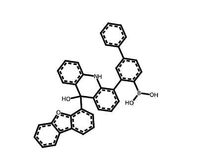 OB(O)c1ccc(-c2ccccc2)cc1-c1cccc2c1Nc1ccccc1C2(O)c1cccc2c1oc1ccccc12